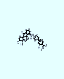 NC(=O)c1ccc(N2CCN(CNc3cccc4c3C(=O)N([C@@H]3CCC(=O)NC3=O)C4=O)CC2)nc1